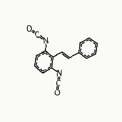 O=C=Nc1cccc(N=C=O)c1C=Cc1ccccc1